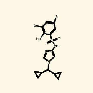 O=S(=O)(Nc1cn(C(C2CC2)C2CC2)cn1)c1cc(Br)cc(Cl)c1O